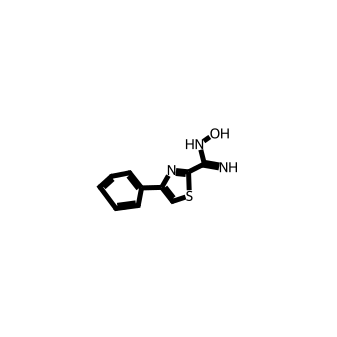 N=C(NO)c1nc(-c2ccccc2)cs1